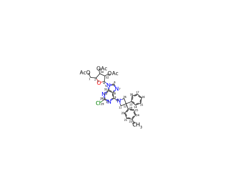 CC(=O)OCC1OC(n2cnc3c(N4CC(c5ccccc5)(c5ccc(C)cc5)C4)nc(Cl)nc32)C(OC(C)=O)C1OC(C)=O